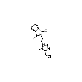 Cc1c(CCl)nnn1CCN1C(=O)c2ccccc2C1=O